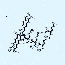 CCCCC(CC)C(=O)O.CCCCC(CC)C(=O)O.CCCCC(CC)C(=O)O.CCCCC(CC)C(=O)O.CCCCCCC[CH2][Sn][CH2]CCCCCCC.CCCCCCC[CH2][Sn][CH2]CCCCCCC.O